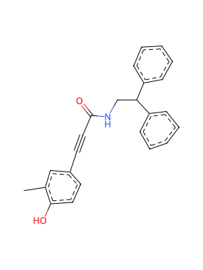 Cc1cc(C#CC(=O)NCC(c2ccccc2)c2ccccc2)ccc1O